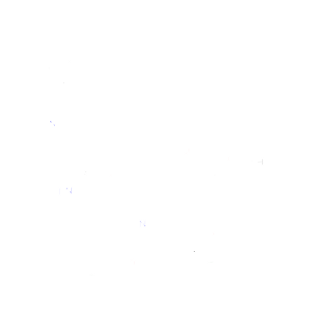 COc1cc(OC(F)(F)F)ccc1Oc1ccc(-c2cc(C3CC3)ncc2C(=O)Nc2ccc(F)c(C(N)=O)c2)cc1